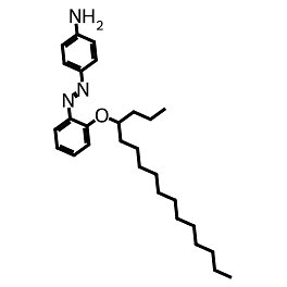 CCCCCCCCCCCCC(CCC)Oc1ccccc1N=Nc1ccc(N)cc1